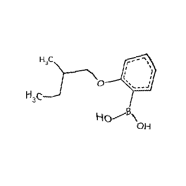 CCC(C)COc1ccccc1B(O)O